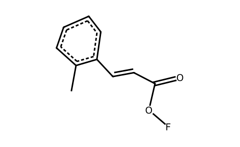 Cc1ccccc1/C=C/C(=O)OF